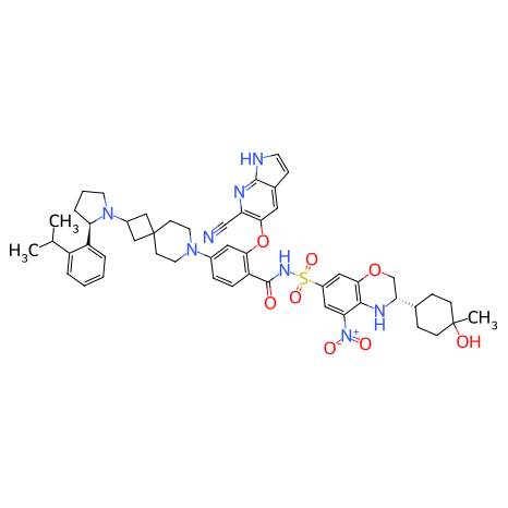 CC(C)c1ccccc1[C@H]1CCCN1C1CC2(CCN(c3ccc(C(=O)NS(=O)(=O)c4cc5c(c([N+](=O)[O-])c4)N[C@@H](C4CCC(C)(O)CC4)CO5)c(Oc4cc5cc[nH]c5nc4C#N)c3)CC2)C1